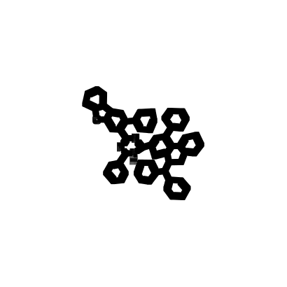 c1ccc(-c2cc3c(cc2C2=NC(c4ccccc4)NC(c4cc(-c5ccccc5)c5c(c4)C(C(c4ccccc4)c4ccccc4)Cc4ccccc4-5)=N2)oc2ccccc23)cc1